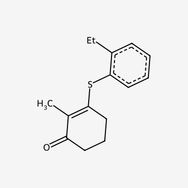 CCc1ccccc1SC1=C(C)C(=O)CCC1